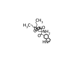 CCCC(CCC)S(=O)(=O)CC(N)(C(N)=O)C(=O)c1ccc2cc[nH]c2c1